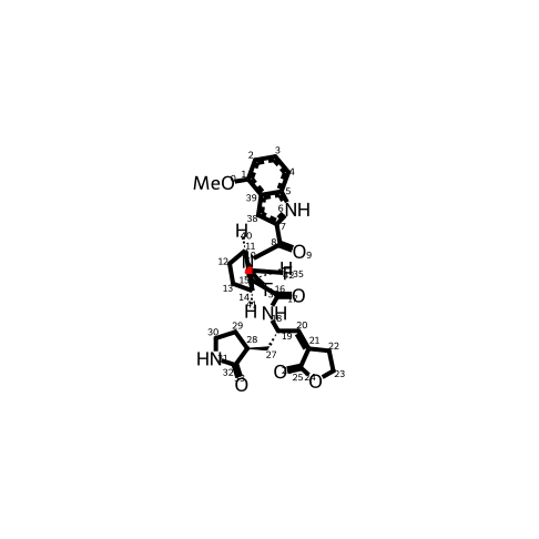 COc1cccc2[nH]c(C(=O)N3[C@@H]4CC[C@H]([C@@H]3C(=O)N[C@H](/C=C3/CCOC3=O)C[C@@H]3CCNC3=O)C(F)(F)C4)cc12